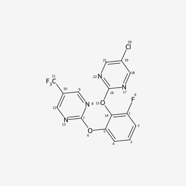 Fc1cccc(Oc2ncc(C(F)(F)F)cn2)c1Oc1ncc(Cl)cn1